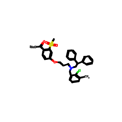 COC(=O)c1ccc(OCCCN(Cc2cccc(C(F)(F)F)c2Cl)CC(c2ccccc2)c2ccccc2)cc1S(C)(=O)=O